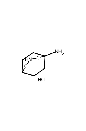 Cl.NC12CCC(CC1)CNC2